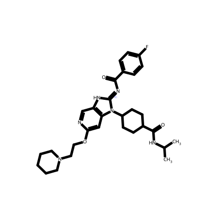 CC(C)NC(=O)C1CCC(n2/c(=N/C(=O)c3ccc(F)cc3)[nH]c3cnc(OCCN4CCCCC4)cc32)CC1